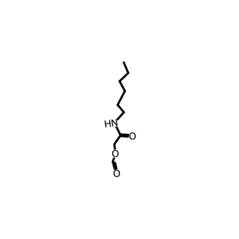 CCCCCCNC(=O)COC=O